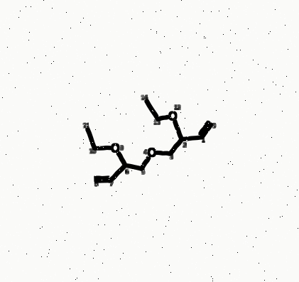 C=CC(COCC(C=C)OCC)OCC